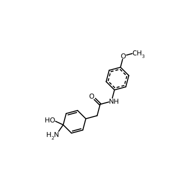 COc1ccc(NC(=O)CC2C=CC(N)(O)C=C2)cc1